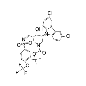 CC(C)(C)OC(=O)N1CC(/C=N\S(=O)(=O)c2ccc(OC(F)(F)F)cc2)[C@H](O)[C@@H](n2c3ccc(Cl)cc3c3cc(Cl)ccc32)C1